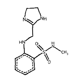 CNS(=O)(=O)c1ccccc1NCC1=NCCN1